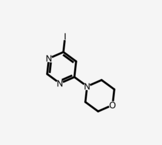 Ic1cc(N2CCOCC2)ncn1